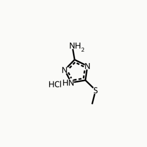 CSc1nc(N)n[nH]1.Cl